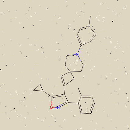 Cc1ccc(N2CCC3(C=C(c4c(-c5ccccc5C)noc4C4CC4)C3)CC2)cc1